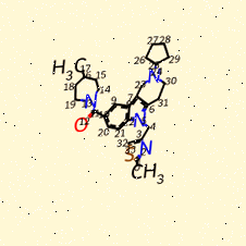 Cc1nc(Cn2c3c(c4cc(C(=O)N5CCC(C)CC5)ccc42)CN(C2CCCC2)CC3)cs1